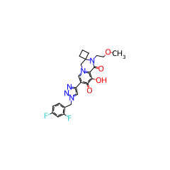 COCCN1C(=O)c2c(O)c(=O)c(-c3cn(Cc4ccc(F)cc4F)nn3)cn2CC12CCC2